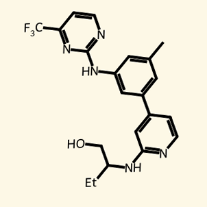 CCC(CO)Nc1cc(-c2cc(C)cc(Nc3nccc(C(F)(F)F)n3)c2)ccn1